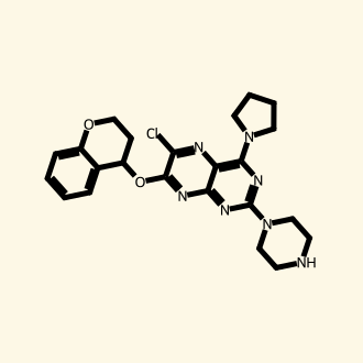 Clc1nc2c(N3CCCC3)nc(N3CCNCC3)nc2nc1OC1CCOc2ccccc21